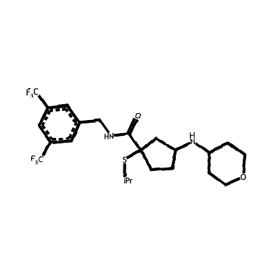 CC(C)SC1(C(=O)NCc2cc(C(F)(F)F)cc(C(F)(F)F)c2)CCC(NC2CCOCC2)C1